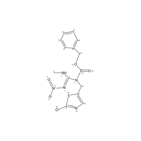 CN/C(=N\[N+](=O)[O-])N(Cc1cnc(Cl)s1)C(=O)OCc1ccccc1